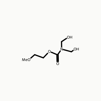 COCCOC(=O)N(CO)CO